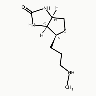 CNCCC[C@@H]1SC[C@@H]2NC(=O)N[C@@H]21